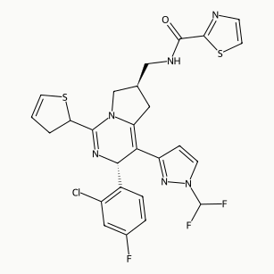 O=C(NC[C@H]1CC2=C(c3ccn(C(F)F)n3)[C@H](c3ccc(F)cc3Cl)N=C(C3CC=CS3)N2C1)c1nccs1